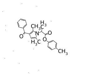 Cc1ccc(OC(=O)C(C)n2c(C)cc(C(=O)c3ccccc3)c2C)cc1